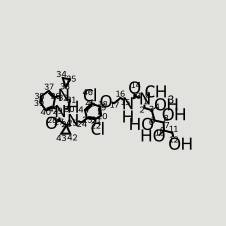 CN(C[C@H](O)[C@@H](O)[C@H](O)[C@H](O)CO)C(=O)NCCOc1cc(Cl)c(CNC2(C(=O)N3CCN(C4CC4)c4ccccc43)CC2)cc1Cl